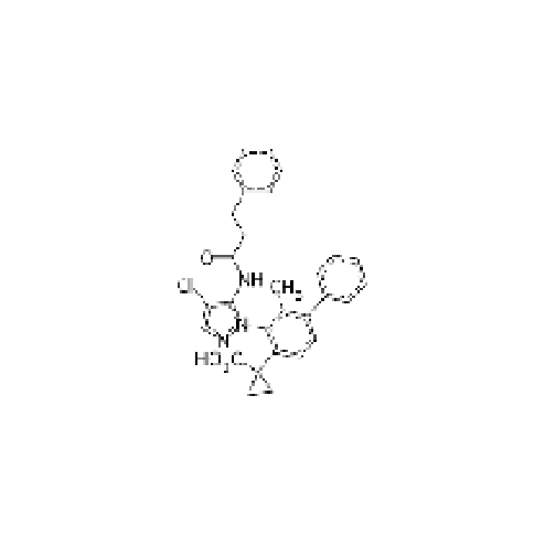 Cc1c(-c2ccccc2)ccc(C2(C(=O)O)CC2)c1-n1ncc(Cl)c1NC(=O)CCc1ccccc1